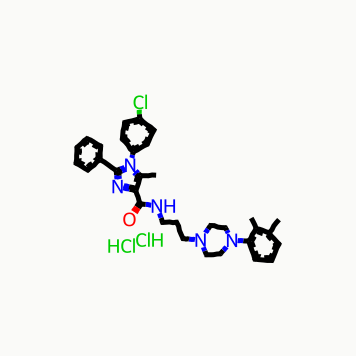 Cc1cccc(N2CCN(CCCNC(=O)c3nc(-c4ccccc4)n(-c4ccc(Cl)cc4)c3C)CC2)c1C.Cl.Cl